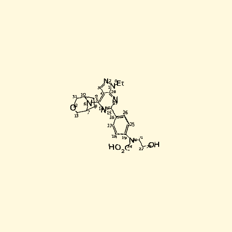 CCn1ncc2c(N3C4CCC3COC4)nc(-c3ccc(N(CCO)C(=O)O)cc3)nc21